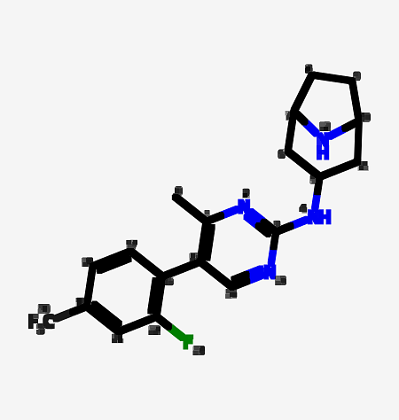 Cc1nc(NC2CC3CCC(C2)N3)ncc1-c1ccc(C(F)(F)F)cc1F